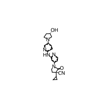 N#C[C@@]1(C2CC2)CCN(c2ccnc(Nc3ccc(N4CC[C@H](O)C4)cn3)c2)C1=O